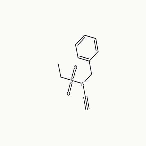 C#CN(Cc1ccccc1)S(=O)(=O)CC